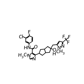 Cn1cnc(C2CC3CC(O)(Cc4cc(C(F)(F)F)nn4C)CC3C2)c1C(=O)Nc1ccc(F)c(Cl)c1